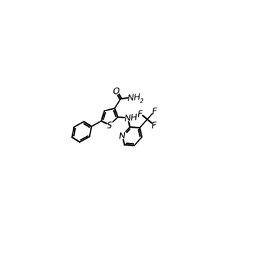 NC(=O)c1cc(-c2ccccc2)sc1Nc1ncccc1C(F)(F)F